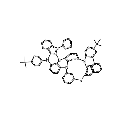 CC(C)(C)c1ccc(N2c3cccc4c3B(c3ccc5cc3N4c3cccc(c3)Sc3cccc(c3)N5c3ccc(C(C)(C)C)cc3-c3ccccc3)c3c2c2ccccc2n3-c2ccccc2)cc1